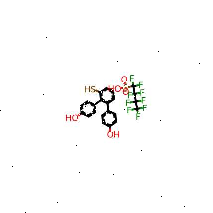 O=S(=O)(O)C(F)(F)C(F)(F)C(F)(F)C(F)(F)F.Oc1ccc(-c2cccc(S)c2-c2ccc(O)cc2)cc1